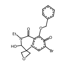 CCN1C(=O)c2c(OCc3ccccc3)c(=O)c(Br)cn2C2(COC2)C1O